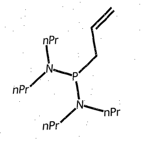 C=CCP(N(CCC)CCC)N(CCC)CCC